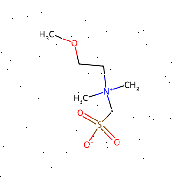 COCC[N+](C)(C)CS(=O)(=O)[O-]